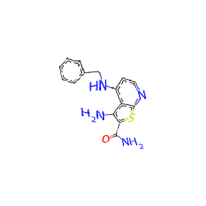 NC(=O)c1sc2nccc(NCc3ccccc3)c2c1N